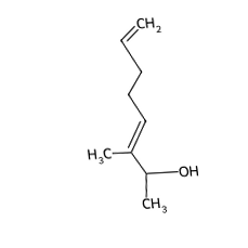 C=CCC/C=C(\C)C(C)O